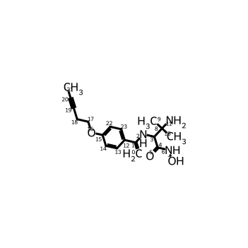 C=C(NC(C(=O)NO)C(C)(C)N)c1ccc(OCCC#CC)cc1